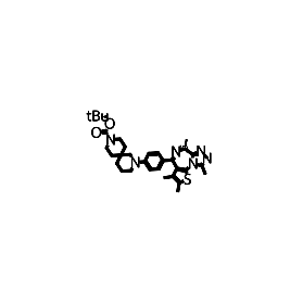 Cc1sc2c(c1C)C(c1ccc(N3CCCC4(CCN(C(=O)OC(C)(C)C)CC4)C3)cc1)=N[C@@H](C)c1nnc(C)n1-2